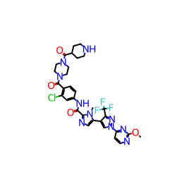 COc1nccc(-n2cc(-c3cnc(C(=O)Nc4ccc(C(=O)N5CCN(C(=O)C6CCNCC6)CC5)c(Cl)c4)n3C)c(C(F)(F)F)n2)n1